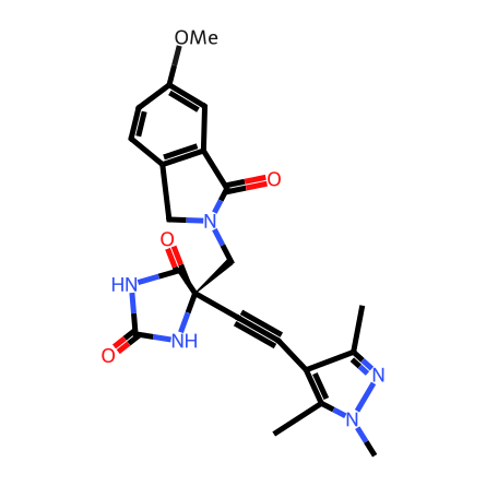 COc1ccc2c(c1)C(=O)N(C[C@@]1(C#Cc3c(C)nn(C)c3C)NC(=O)NC1=O)C2